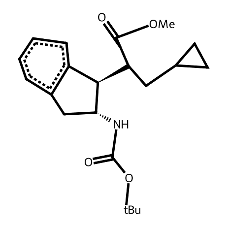 COC(=O)C(CC1CC1)[C@@H]1c2ccccc2C[C@H]1NC(=O)OC(C)(C)C